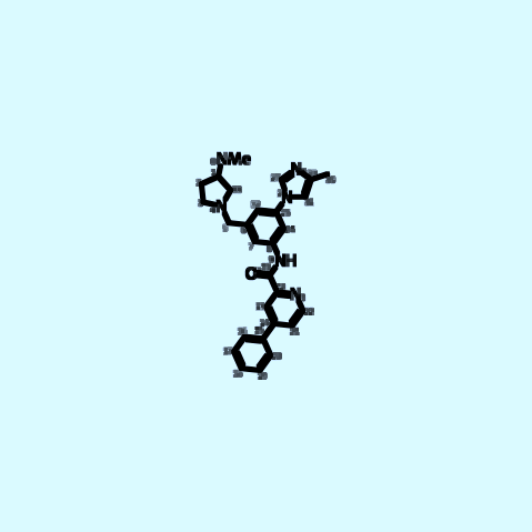 CNC1CCN(Cc2cc(NC(=O)c3cc(-c4ccccc4)ccn3)cc(-n3cnc(C)c3)c2)C1